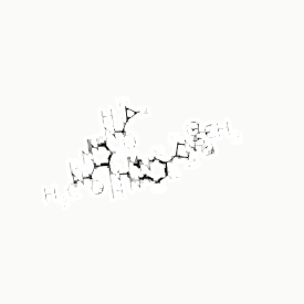 CN(I)C(=O)c1nnc(NC(=O)C2CC2)cc1Nc1nc2ccc(C3CN(S(C)(=O)=O)C3)cn2n1